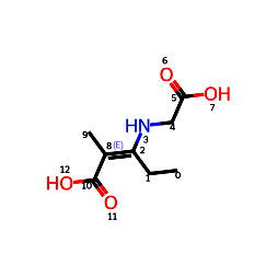 CC/C(NCC(=O)O)=C(/C)C(=O)O